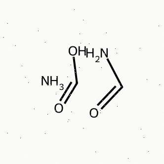 N.NC=O.O=CO